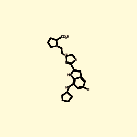 O=C(O)C1CCCN1CC[C@@H]1CSC(c2cc3cc(Cl)cc(NC4CCCC4)c3[nH]2)=N1